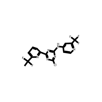 CC(F)(F)c1cccc(-c2nc(Cl)nc(Nc3ccnc(C(F)(F)F)c3)n2)n1